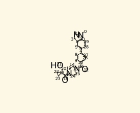 Cn1ncc2cc(-c3ccc(C(=O)N4CCN(C(=O)C5(CO)CC5)CC4)cc3)ccc21